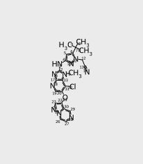 Cn1c(Nc2cc(C(C)(C)C)n(CC#N)n2)nc2ncc(Oc3cnn4ccncc34)c(Cl)c21